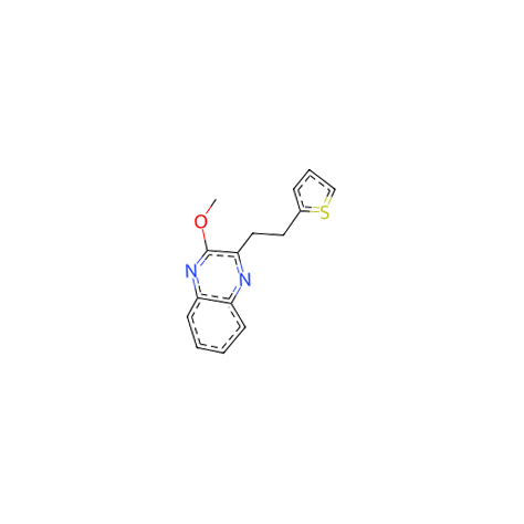 COc1nc2ccccc2nc1CCc1cccs1